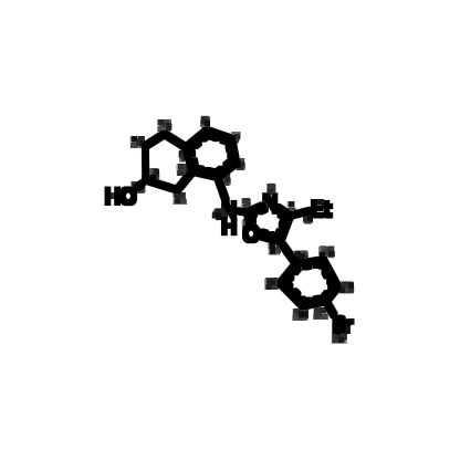 CCc1nc(Nc2cccc3c2C[C@@H](O)CC3)oc1-c1ccc(Br)cc1